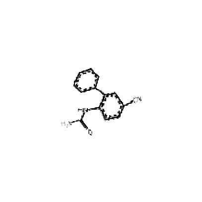 N#Cc1ccc(NC(N)=O)c(-c2ccccc2)c1